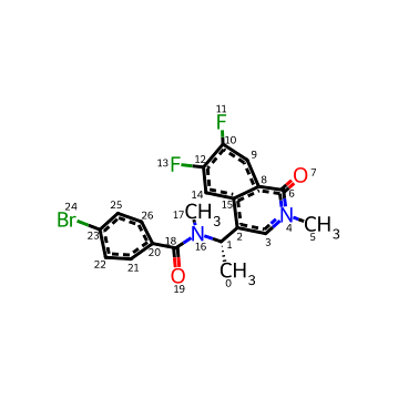 C[C@@H](c1cn(C)c(=O)c2cc(F)c(F)cc12)N(C)C(=O)c1ccc(Br)cc1